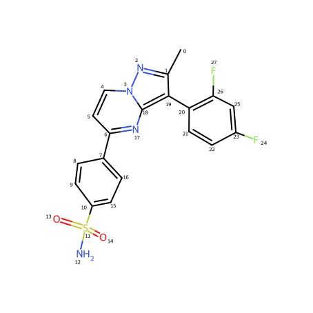 Cc1nn2ccc(-c3ccc(S(N)(=O)=O)cc3)nc2c1-c1ccc(F)cc1F